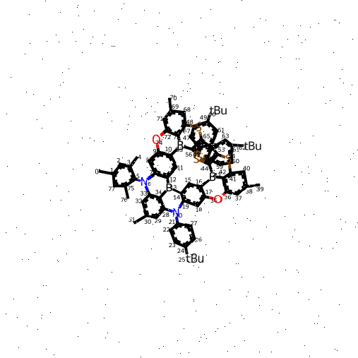 Cc1cc(C)c(N2c3cc4c(cc3B3c5cc6c(cc5N(c5ccc(C(C)(C)C)cc5)c5cc(C)cc2c53)Oc2cc(C)cc3c2B6c2sc5ccc(C(C)(C)C)cc5c2S3)B2c3sc5ccc(C(C)(C)C)cc5c3Sc3cc(C)cc(c32)O4)c(C)c1